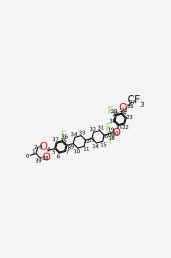 CC1COC(c2ccc(C3CCC(C4CCC(C(F)(F)Oc5ccc(OCC(F)(F)F)c(F)c5)CC4)CC3)c(F)c2)OC1